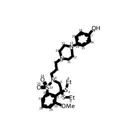 CCSC1(SCC)CN(CCCN2CCN(c3ccc(O)cc3)CC2)S(=O)(=O)c2cccc(OC)c21